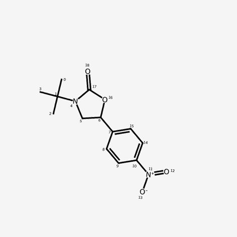 CC(C)(C)N1CC(c2ccc([N+](=O)[O-])cc2)OC1=O